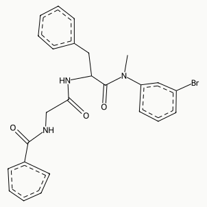 CN(C(=O)C(Cc1ccccc1)NC(=O)CNC(=O)c1ccccc1)c1cccc(Br)c1